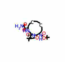 CC(C)(C)OC(=O)NC1CCCCCCCCCC[C@@H](C(=O)C(N)=O)NC(=O)[C@@H]2C3C(CN2C1=O)C3(C)C